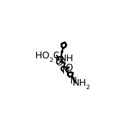 CCC(C(=O)O)C(C#Cc1ccccc1)NC(=O)CC1CCCN(c2ccc(C=NN)cc2)C1=O